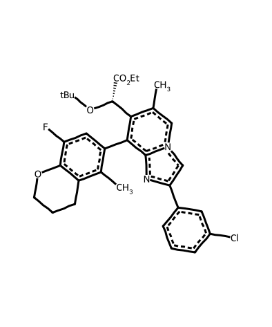 CCOC(=O)[C@@H](OC(C)(C)C)c1c(C)cn2cc(-c3cccc(Cl)c3)nc2c1-c1cc(F)c2c(c1C)CCCO2